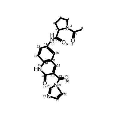 CC(=O)N1CCCC1C(=O)Nc1ccc2[nH]c(=O)c(C(=O)n3ccnc3)cc2c1